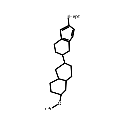 CCCCCCCc1ccc2c(c1)CCC(C1CCC3CC(OCCC)CCC3C1)C2